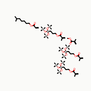 C=C(C)C(=O)OC.C=C(C)C(=O)OCCC[Si](O[Si](C)(C)C)(O[Si](C)(C)C)O[Si](C)(C)C.C=C(C)C(=O)OCCC[Si](O[Si](C)(C)C)(O[Si](C)(C)C)O[Si](C)(C)C.C=C(C)C(=O)OCCC[Si](O[Si](C)(C)C)(O[Si](C)(C)C)O[Si](C)(C)C.C=CC(=O)OCCCCCC(C)C